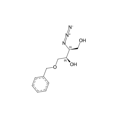 [N-]=[N+]=N[C@@H](CO)[C@@H](O)COCc1ccccc1